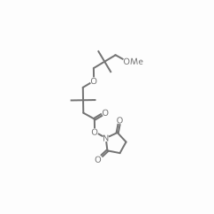 COCC(C)(C)COCC(C)(C)CC(=O)ON1C(=O)CCC1=O